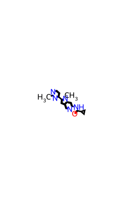 Cc1nccc(-c2cc3cnc(NC(=O)C4CC4)cc3n2C)n1